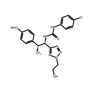 COc1ccc([C@H](C)[C@@H](NC(=O)Nc2ccc(Cl)cc2)c2nnn(CCO)n2)cc1